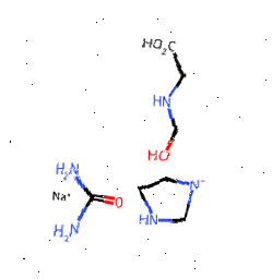 C1CNC[N-]1.NC(N)=O.O=C(O)CNCO.[Na+]